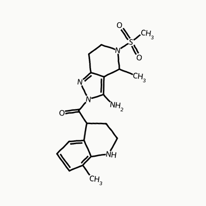 Cc1cccc2c1NCCC2C(=O)n1nc2c(c1N)C(C)N(S(C)(=O)=O)CC2